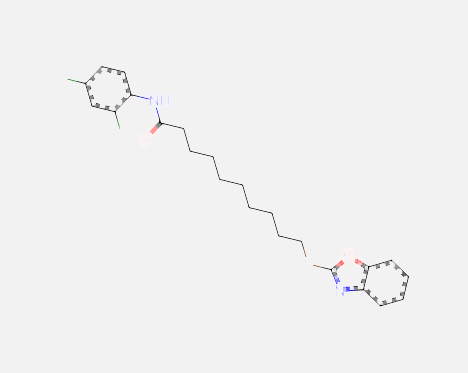 O=C(CCCCCCCCCSc1nc2ccccc2o1)Nc1ccc(F)cc1F